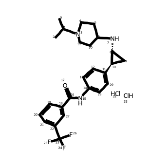 CC(C)N1CCC(N[C@@H]2C[C@H]2c2ccc(NC(=O)c3cccc(C(F)(F)F)c3)cc2)CC1.Cl.Cl